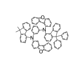 CC1(C)c2ccccc2-c2c(N(c3cccc(N(c4cccc5c4-c4ccccc4C5(c4ccccc4)c4ccccc4)c4cccc5oc6ccccc6c45)c3)c3ccc4oc5ccccc5c4c3)cccc21